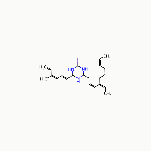 C=C/C(C)=C\C=C\C1NC(I)NC(C/C=C\C(=C/C)C/C=C\C=C/C)N1